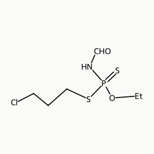 CCOP(=S)(NC=O)SCCCCl